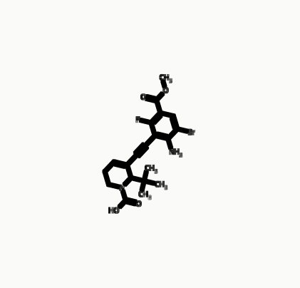 COC(=O)c1cc(Br)c(N)c(C#CC2=CCCN(C(=O)O)C2C(C)(C)C)c1F